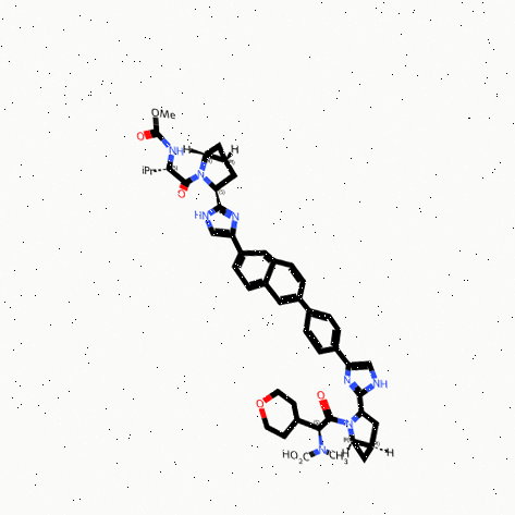 COC(=O)N[C@H](C(=O)N1[C@@H]2C[C@@H]2C[C@H]1c1nc(-c2ccc3cc(-c4ccc(-c5c[nH]c(C6C[C@H]7C[C@H]7N6C(=O)[C@H](C6CCOCC6)N(C)C(=O)O)n5)cc4)ccc3c2)c[nH]1)C(C)C